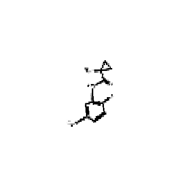 CC1(C(=O)Nc2cc([N+](=O)[O-])ccc2Br)CC1